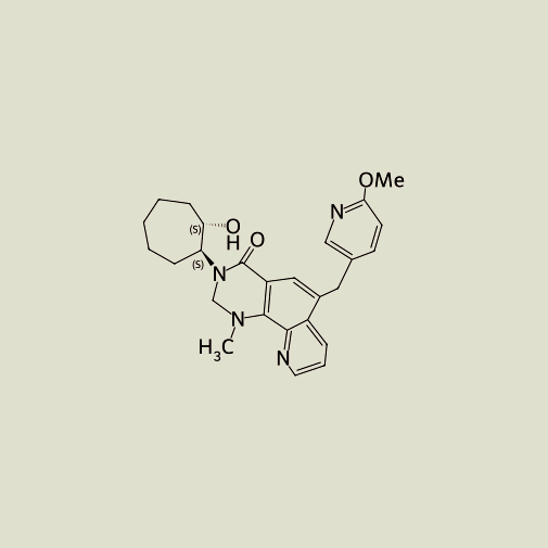 COc1ccc(Cc2cc3c(c4ncccc24)N(C)CN([C@H]2CCCCC[C@@H]2O)C3=O)cn1